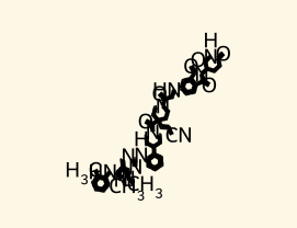 Cc1cccc(C)c1Nc1nn(C)c2nc(Nc3ccccc3C3CCN(C(=O)C4(C=CC#N)CCN(C(=O)CNc5ccc6c(c5)C(=O)N(C5CCC(=O)NC5=O)C6=O)CC4)CC3)ncc12